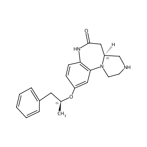 C[C@@H](Cc1ccccc1)Oc1ccc2c(c1)N1CCNC[C@@H]1CC(=O)N2